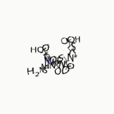 CC(C)(O/N=C(\C(=O)NC1C(=O)N2C(C(=O)[O-])=C(C[n+]3ccc4sc(C(=O)O)cc4c3)CS[C@H]12)c1csc(N)n1)C(=O)O